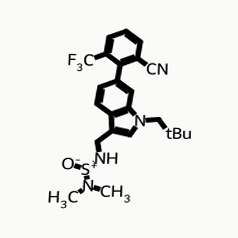 CN(C)[S+]([O-])NCc1cn(CC(C)(C)C)c2cc(-c3c(C#N)cccc3C(F)(F)F)ccc12